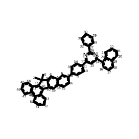 CC1(C)c2cc3cc(-c4ccc(-c5cc(-c6cccc7ccccc67)nc(-c6ccccc6)n5)cc4)ccc3cc2-c2c1c1ccccc1c1ccccc21